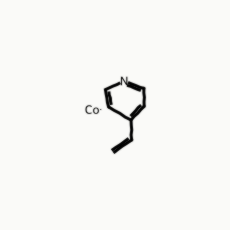 C=Cc1ccncc1.[Co]